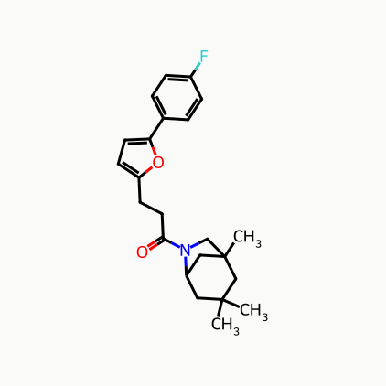 CC1(C)CC2CC(C)(CN2C(=O)CCc2ccc(-c3ccc(F)cc3)o2)C1